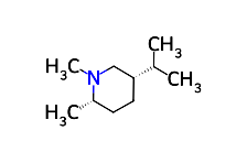 CC(C)[C@@H]1CC[C@H](C)N(C)C1